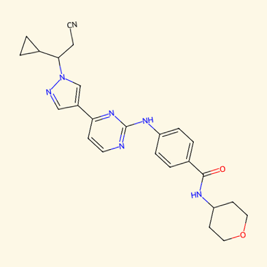 N#CCC(C1CC1)n1cc(-c2ccnc(Nc3ccc(C(=O)NC4CCOCC4)cc3)n2)cn1